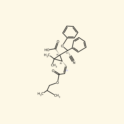 CC(C)COC(=O)/C=C\[C@@H]1C(C)(C)[C@@]1(C(=O)O)[C@@](C#N)(Oc1ccccc1)c1ccccc1